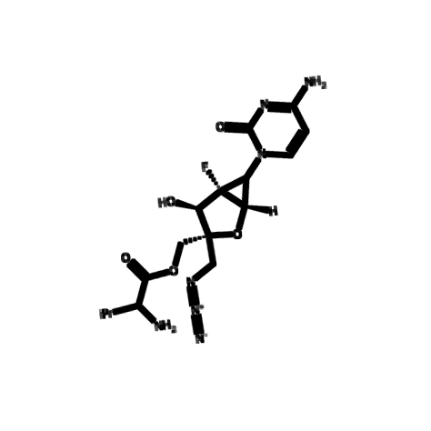 CC(C)C(N)C(=O)OC[C@@]1(CN=[N+]=[N-])O[C@H]2C(n3ccc(N)nc3=O)[C@]2(F)[C@@H]1O